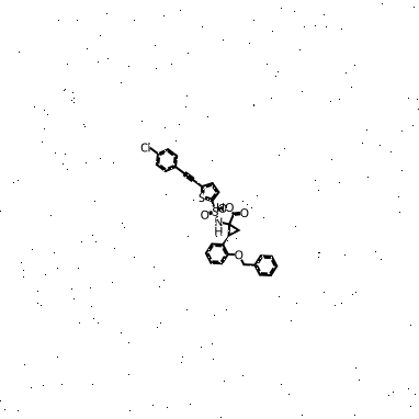 O=C(O)C1(NS(=O)(=O)c2ccc(C#Cc3ccc(Cl)cc3)s2)C[C@H]1c1ccccc1OCc1ccccc1